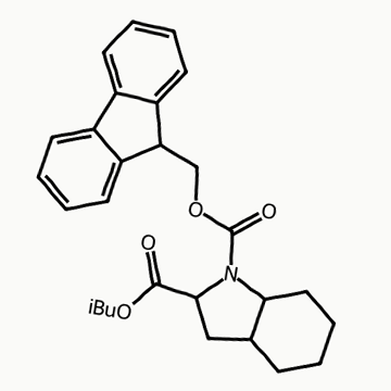 CC(C)COC(=O)C1CC2CCCCC2N1C(=O)OCC1c2ccccc2-c2ccccc21